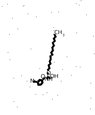 CCCCCCCCCCCCCCCCCCOC[C@H](CO)NC(=O)c1cccc(C#N)c1